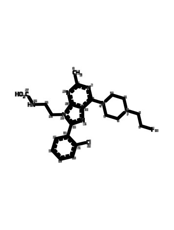 Cc1nc(N2CCN(CCF)CC2)c2nc(-c3ccccc3Cl)n(CCNC(=O)O)c2n1